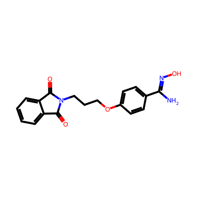 NC(=NO)c1ccc(OCCCN2C(=O)c3ccccc3C2=O)cc1